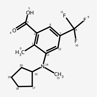 Cc1c(C(=O)O)cc(C(F)(F)F)cc1N(C)C1CCCC1